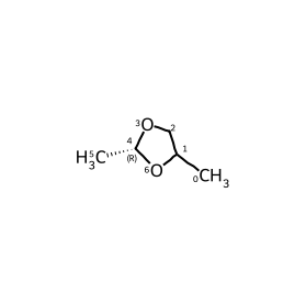 CC1CO[C@@H](C)O1